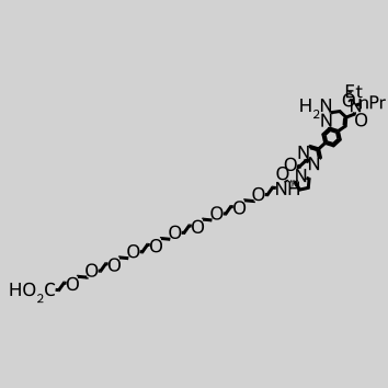 CCCN(OCC)C(=O)C1=Cc2ccc(-c3cnc(C(=O)N4CCC[C@@H]4C(=O)NCCOCCOCCOCCOCCOCCOCCOCCOCCOCCOCCC(=O)O)nc3)cc2N=C(N)C1